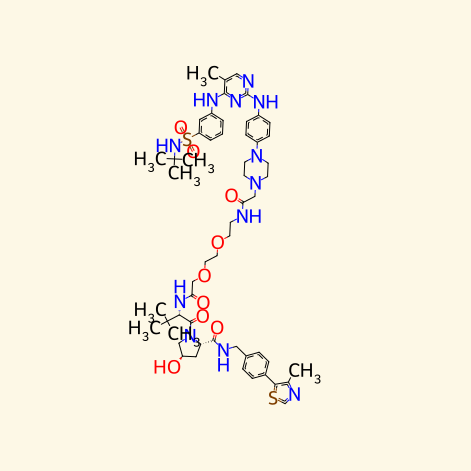 Cc1cnc(Nc2ccc(N3CCN(CC(=O)NCCOCCOCC(=O)N[C@H](C(=O)N4C[C@H](O)C[C@H]4C(=O)NCc4ccc(-c5scnc5C)cc4)C(C)(C)C)CC3)cc2)nc1Nc1cccc(S(=O)(=O)NC(C)(C)C)c1